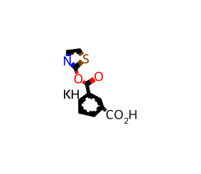 O=C(O)c1cccc(C(=O)Oc2nccs2)c1.[KH]